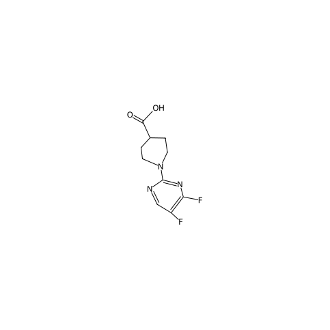 O=C(O)C1CCN(c2ncc(F)c(F)n2)CC1